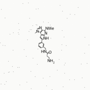 CNc1nc2[nH]c(-c3cccc(CNC(=O)CCN)c3)cc2c2c1ncn2C